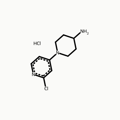 Cl.NC1CCN(c2ccnc(Cl)c2)CC1